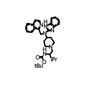 CC(C)C(CN1CCC(N(Cc2nccc3ccccc23)c2nc3ccccc3[nH]2)CC1)NC(=O)OC(C)(C)C